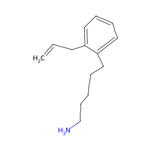 C=CCc1ccccc1CCCCCN